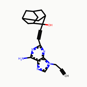 C#CCn1cnc2c(N)nc(C#CC3(O)C4CC5CC(C4)CC3C5)nc21